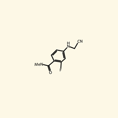 CNC(=O)c1ccc(NCC#N)cc1F